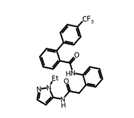 CCn1nccc1NC(=O)Cc1ccccc1NC(=O)c1ccccc1-c1ccc(C(F)(F)F)cc1